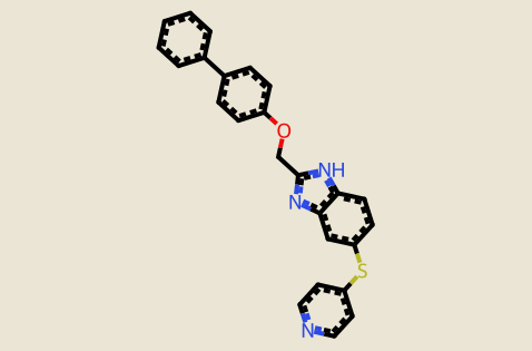 c1ccc(-c2ccc(OCc3nc4cc(Sc5ccncc5)ccc4[nH]3)cc2)cc1